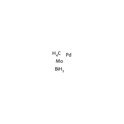 C.[BiH3].[Mo].[Pd]